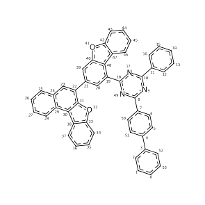 c1ccc(-c2ccc(-c3nc(-c4ccccc4)nc(-c4cc(-c5cc6ccccc6c6c5oc5ccccc56)cc5oc6ccccc6c45)n3)cc2)cc1